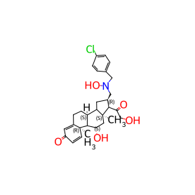 C[C@]12C[C@H](O)C3[C@@H](CCC4=CC(=O)C=C[C@@]43C)C1C[C@@H](CN(O)Cc1ccc(Cl)cc1)C2C(=O)CO